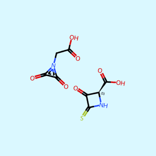 O=C(O)Cn1c(=O)c1=O.O=C(O)[C@H]1NC(=S)C1=O